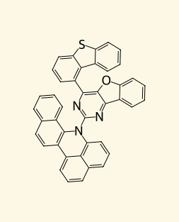 c1ccc2c3c(ccc2c1)-c1cccc2cccc(c12)N3c1nc(-c2cccc3sc4ccccc4c23)c2oc3ccccc3c2n1